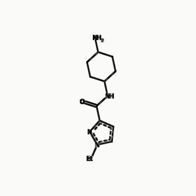 CCn1ccc(C(=O)NC2CCC(N)CC2)n1